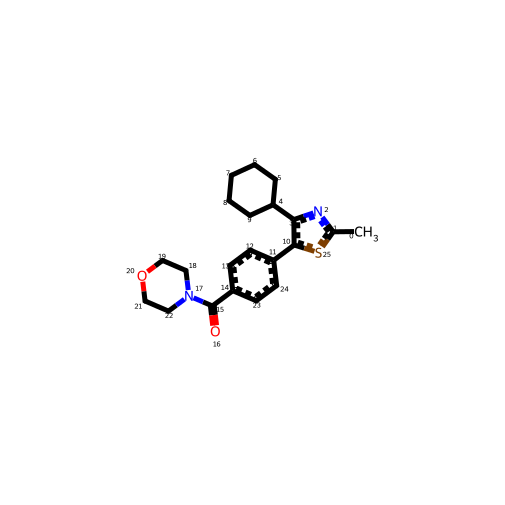 Cc1nc(C2CCCCC2)c(-c2ccc(C(=O)N3CCOCC3)cc2)s1